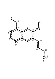 COc1cc2c(SC)ncnc2cc1C=CCO